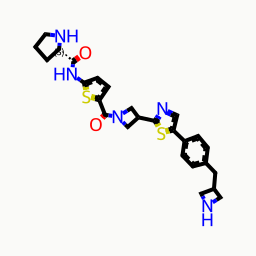 O=C(Nc1ccc(C(=O)N2CC(c3ncc(-c4ccc(CC5CNC5)cc4)s3)C2)s1)[C@@H]1CCCN1